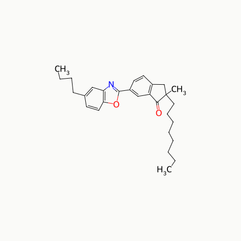 CCCCCCCCC1(C)Cc2ccc(-c3nc4cc(CCCC)ccc4o3)cc2C1=O